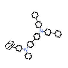 c1ccc(-c2ccc(N(c3ccc(-c4ccccc4)cc3)c3ccc(-c4ccc(N(c5ccccc5)c5ccc(C67CC8CC(CC(C8)C6)C7)cc5)cc4)cc3)cc2)cc1